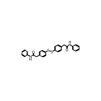 O=C(Cc1ccc(SSc2ccc(CC(=O)Nc3ccccc3)cc2)cc1)Nc1ccccc1